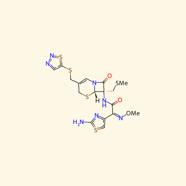 CO/N=C(\C(=O)N[C@]1(CSC)C(=O)N2C=C(CSc3cnns3)CS[C@H]21)c1csc(N)n1